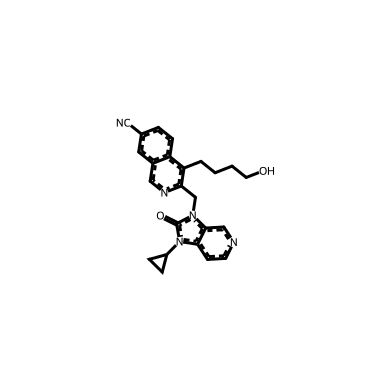 N#Cc1ccc2c(CCCCO)c(Cn3c(=O)n(C4CC4)c4ccncc43)ncc2c1